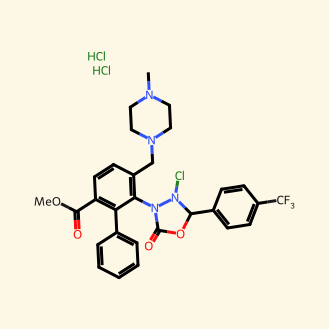 COC(=O)c1ccc(CN2CCN(C)CC2)c(N2C(=O)OC(c3ccc(C(F)(F)F)cc3)N2Cl)c1-c1ccccc1.Cl.Cl